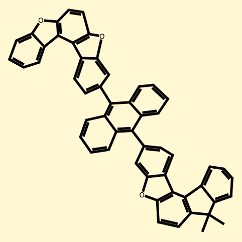 CC1(C)c2ccccc2-c2c1ccc1oc3cc(-c4c5ccccc5c(-c5ccc6c(c5)oc5ccc7oc8ccccc8c7c56)c5ccccc45)ccc3c21